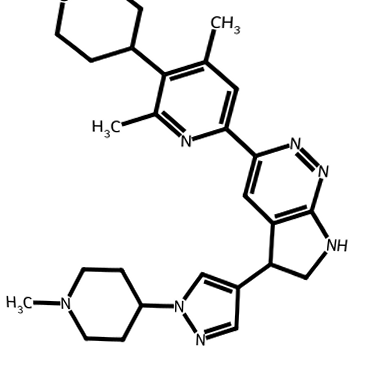 Cc1cc(-c2cc3c(nn2)NCC3c2cnn(C3CCN(C)CC3)c2)nc(C)c1C1CCOCC1